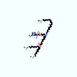 CCCCC/C=C\C/C=C\CCCCCCCCN(CCCCCCCC(=O)OC(CCCCCCCC)CCCCCCCC)CCCOC(=O)NCCN(C)C